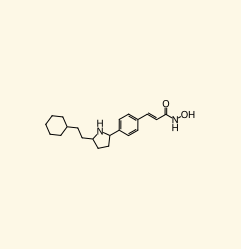 O=C(/C=C/c1ccc(C2CCC(CCC3CCCCC3)N2)cc1)NO